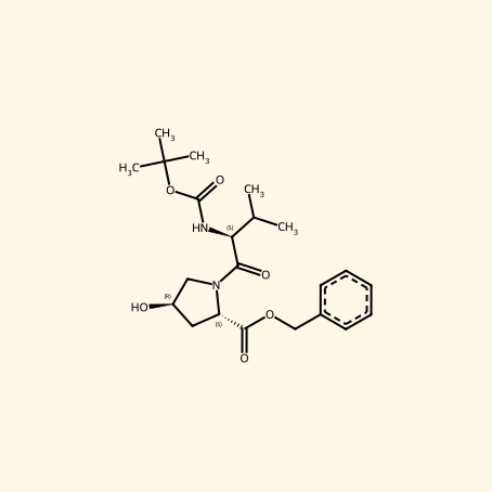 CC(C)[C@H](NC(=O)OC(C)(C)C)C(=O)N1C[C@H](O)C[C@H]1C(=O)OCc1ccccc1